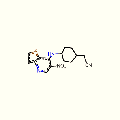 N#CCC1CCC(Nc2c([N+](=O)[O-])cnc3ccsc23)CC1